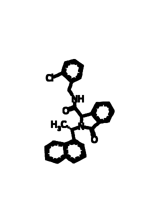 C[C@@H](c1cccc2ccccc12)N1C(=O)c2ccccc2C1C(=O)NCc1ccccc1Cl